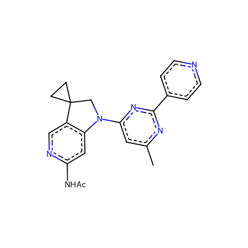 CC(=O)Nc1cc2c(cn1)C1(CC1)CN2c1cc(C)nc(-c2ccncc2)n1